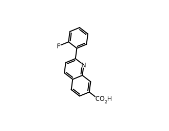 O=C(O)c1ccc2ccc(-c3ccccc3F)nc2c1